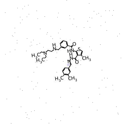 CCN(CC)CCNCc1cccc(C(=O)Nc2scc(C)c2C(=O)N/N=C/c2ccc(C)c(C)c2)c1